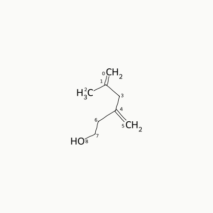 C=C(C)CC(=C)CCO